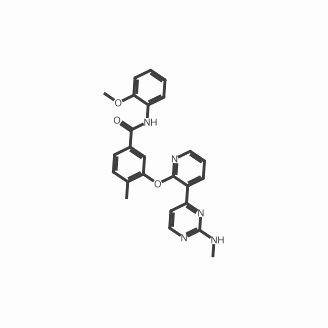 CNc1nccc(-c2cccnc2Oc2cc(C(=O)Nc3ccccc3OC)ccc2C)n1